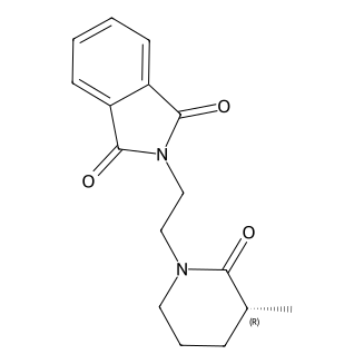 C[C@@H]1CCCN(CCN2C(=O)c3ccccc3C2=O)C1=O